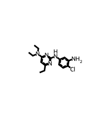 CCc1cc(N(CC)CC)nc(Nc2ccc(Cl)c(N)c2)n1